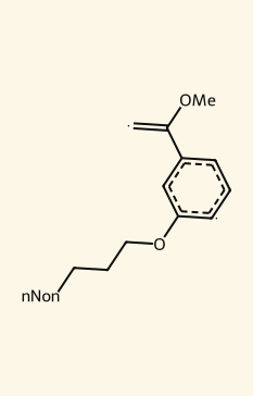 [CH]=C(OC)c1cc[c]c(OCCCCCCCCCCCC)c1